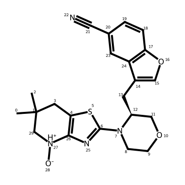 CC1(C)Cc2sc(N3CCOC[C@@H]3Cc3coc4ccc(C#N)cc34)nc2[NH+]([O-])C1